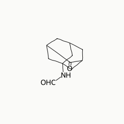 O=CNC12CC3CC(C1)C(=O)C(C3)C2